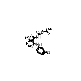 CC(C)COC(=O)NCC(=O)Nc1n[nH]c2ncnc(Nc3cccc(Cl)c3)c12